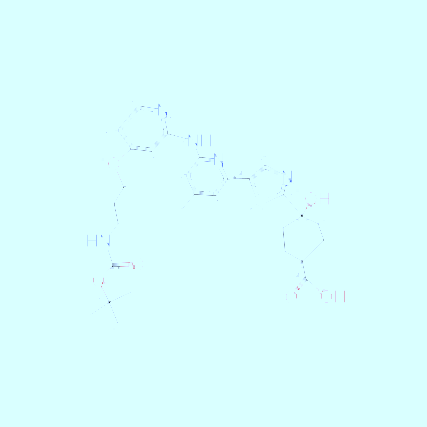 Cc1cc(Nc2cc(OCCCNC(=O)OC(C)(C)C)ccn2)nc(-c2cnc(C3(O)CCC(C(=O)O)CC3)s2)c1